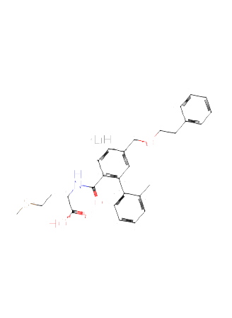 CSCC[C@H](NC(=O)c1ccc(COCCc2ccccc2)cc1-c1ccccc1C)C(=O)O.[LiH]